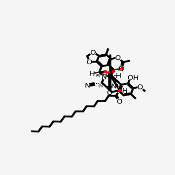 CCCCCCCCCCCCCCCC(=O)NC1CS[C@@H]2c3c(OC(C)=O)c(C)c4c(c3[C@H](COC1=O)N1[C@@H]2C2NC(Cc3cc(C)c(OC)c(O)c32)[C@@H]1C#N)OCO4